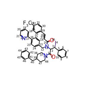 O=C(C(C(I)c1ccccc1)N(Cc1ccc(-c2ccccn2)cc1)C(=O)C=Cc1ccc(C(F)(F)F)cc1)N1CCC(Cc2ccccc2)CC1